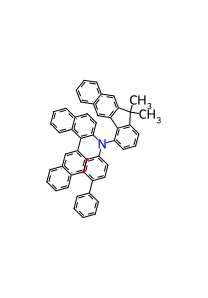 CC1(C)c2cc3ccccc3cc2-c2c(N(c3ccc(-c4ccccc4)cc3)c3ccc4ccccc4c3-c3ccc4ccccc4c3)cccc21